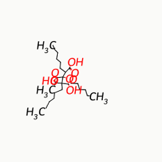 CCCCCCOC(C(=O)O)(C(CCCCCC)C(=O)O)C(CCCCCC)(C(C)=O)C(=O)O